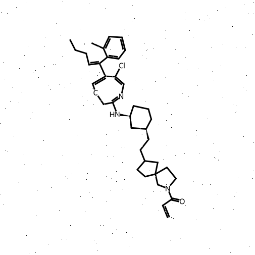 C=CC(=O)N1CCC2(CCC(CC[C@@H]3CCC[C@H](N/C4=N/C=C(Cl)\C(C(=C\CCC)\c5ccccc5C)=C/CC4)C3)C2)C1